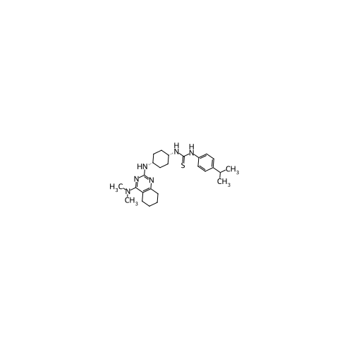 CC(C)c1ccc(NC(=S)N[C@H]2CC[C@@H](Nc3nc4c(c(N(C)C)n3)CCCC4)CC2)cc1